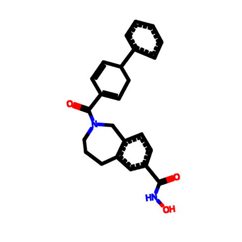 O=C(NO)c1ccc2c(c1)CCCN(C(=O)C1=CCC(c3ccccc3)C=C1)C2